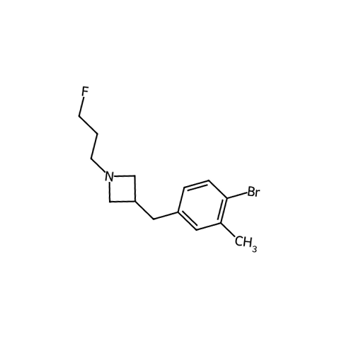 Cc1cc(CC2CN(CCCF)C2)ccc1Br